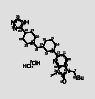 Cl.Cl.Cn1c(=O)n(CC(C)(C)C)c2ccc(N3CCCC(CN4CCC(c5nnc[nH]5)CC4)C3)nc21